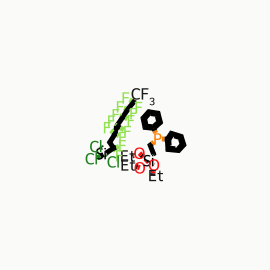 CCO[Si](CCP(c1ccccc1)c1ccccc1)(OCC)OCC.FC(F)(F)C(F)(F)C(F)(F)C(F)(F)C(F)(F)C(F)(F)CC(F)(F)[Si](Cl)(Cl)Cl